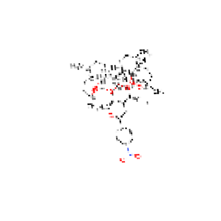 C=C(C[C@H]1OC2O[C@]3(C)CC[C@H]4[C@H](C)CC[C@@H]([C@H]1C)[C@@]24OO3)C(CC(=O)c1ccc([N+](=O)[O-])cc1)C(=C)C[C@H]1O[C@@H]2C[C@]3(C)CC[C@H]4[C@H](C)CC[C@@H]([C@H]1C)[C@@]24OO3